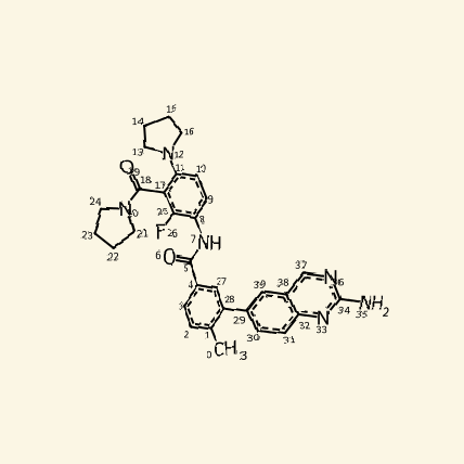 Cc1ccc(C(=O)Nc2ccc(N3CCCC3)c(C(=O)N3CCCC3)c2F)cc1-c1ccc2nc(N)ncc2c1